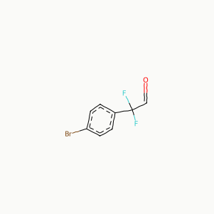 O=CC(F)(F)c1ccc(Br)cc1